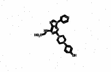 O=C(O)CNc1nc(N2CCN(c3ccc(O)cc3)CC2)nc2c1ncn2-c1ccncc1